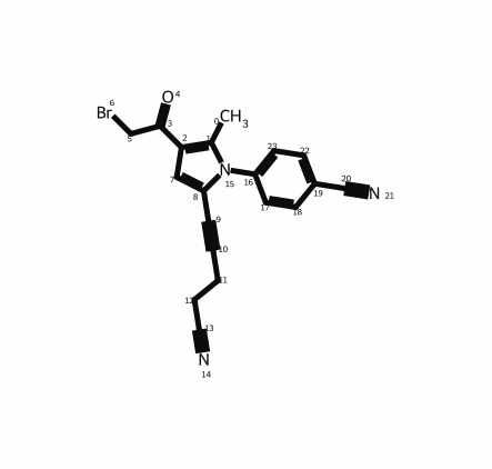 Cc1c(C(=O)CBr)cc(C#CCCC#N)n1-c1ccc(C#N)cc1